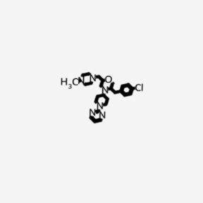 CN1CCN(CC2CN(C3CCN(c4ncccn4)CC3)C(Cc3ccc(Cl)cc3)CO2)CC1